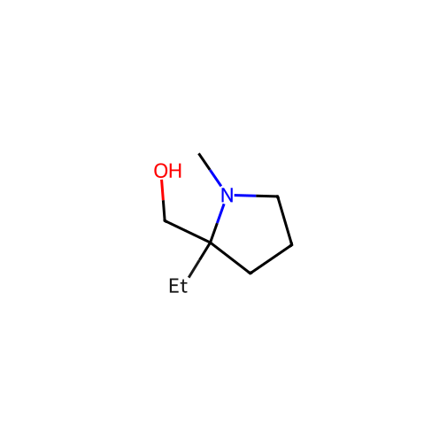 CCC1(CO)CCCN1C